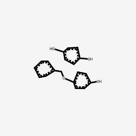 Oc1ccc(O)cc1.Oc1ccc(OCc2ccccc2)cc1